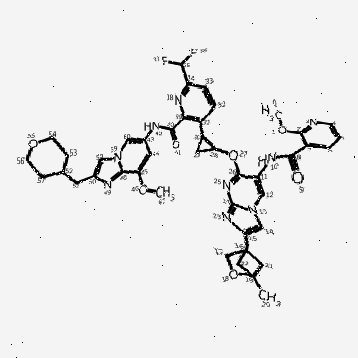 COc1ncccc1C(=O)Nc1cn2cc(C34COC(C)(C3)C4)nc2nc1OC1CC1c1ccc(C(F)F)nc1C(=O)Nc1cc(OC)c2nc(CC3CCOCC3)cn2c1